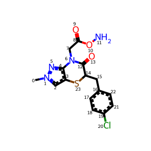 Cn1cc2c(n1)N(CC(=O)ON)C(=O)C(Cc1ccc(Cl)cc1)S2